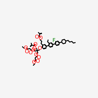 C=C(C)C(=O)OCCCc1cc(-c2ccc(-c3ccc(C4CCC(CCCCC)CC4)cc3F)cc2CC)ccc1OCC(COC(=O)CC(=O)OCC)(COC(=O)CC(=O)OCC)COC(=O)C(=C)C